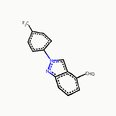 O=Cc1cccc2nn(-c3ccc(C(F)(F)F)cc3)cc12